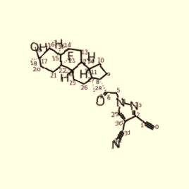 C#Cc1nn(CC(=O)[C@H]2CC[C@H]3[C@@H]4CC[C@@H]5C[C@](C)(O)CC[C@]5(F)[C@H]4CC[C@]23C)cc1C#N